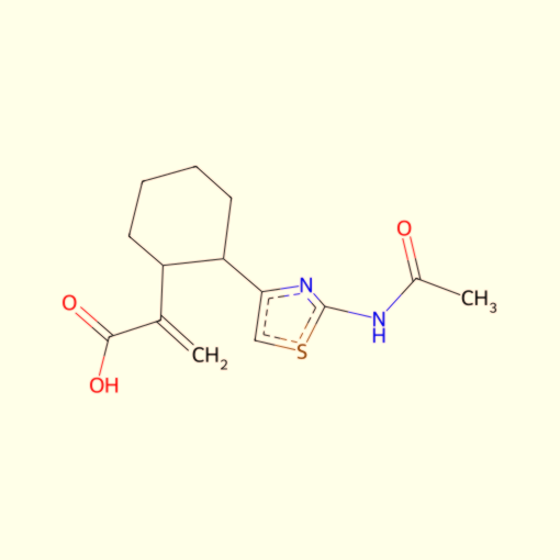 C=C(C(=O)O)C1CCCCC1c1csc(NC(C)=O)n1